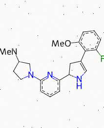 CNC1CCN(c2cccc(C3CC(c4c(F)cccc4OC)=CN3)n2)C1